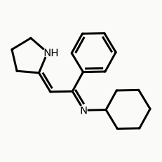 C(=C1CCCN1)C(=NC1CCCCC1)c1ccccc1